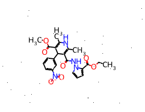 CCOC(=O)c1cccn1NC(=O)C1=C(C)NC(C)=C(C(=O)OC)C1c1cccc([N+](=O)[O-])c1